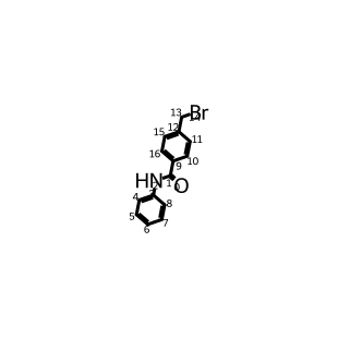 O=C(Nc1ccccc1)c1ccc(CBr)cc1